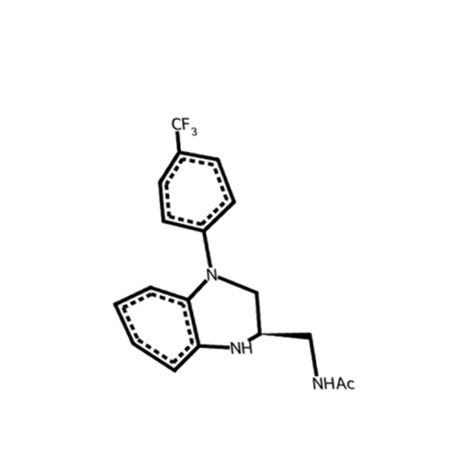 CC(=O)NC[C@@H]1CN(c2ccc(C(F)(F)F)cc2)c2ccccc2N1